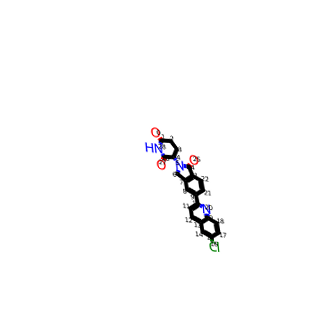 O=C1CCC(N2Cc3cc(-c4ccc5cc(Cl)ccc5n4)ccc3C2=O)C(=O)N1